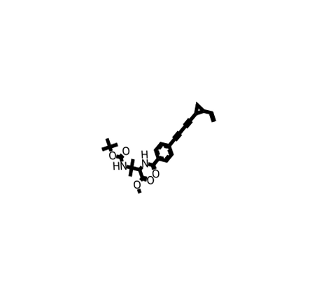 C=CC1CC1C#CC#Cc1ccc(C(=O)NC(C(=O)OC)C(C)(C)NC(=O)OC(C)(C)C)cc1